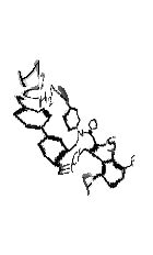 C=Cc1ccc(-c2ccc(CC)c(CN(C(=O)c3sc4c(F)ccc(F)c4c3Cl)[C@H]3CC[C@H](N)CC3)c2)cc1